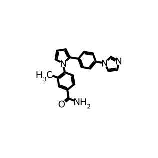 Cc1cc(C(N)=O)ccc1-n1cccc1-c1ccc(-n2ccnc2)cc1